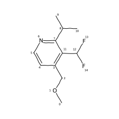 COCc1ccnc(C(C)C)c1C(F)F